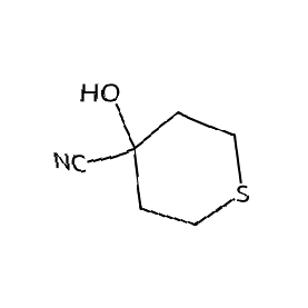 N#CC1(O)CCSCC1